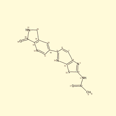 CC(=O)Nc1nc2ccc(-c3cnc4c(c3)CNC4=O)nc2s1